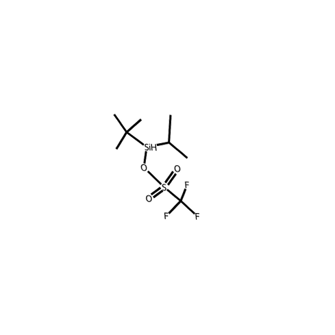 CC(C)[SiH](OS(=O)(=O)C(F)(F)F)C(C)(C)C